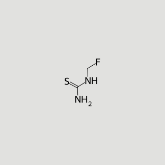 NC(=S)NCF